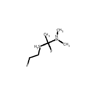 C[SiH](C)C(C)(F)[SiH2]CCF